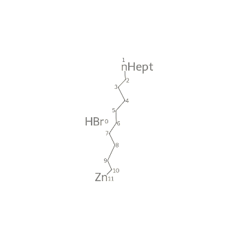 Br.CCCCCCCCCCCCCCC[CH2][Zn]